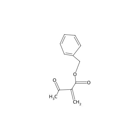 C=C(C(C)=O)C(=O)OCc1ccccc1